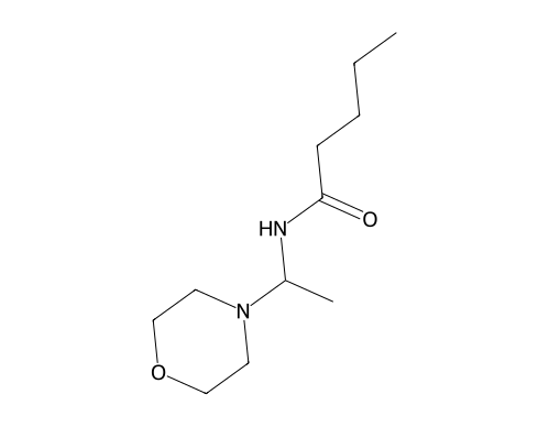 CCCCC(=O)NC(C)N1CCOCC1